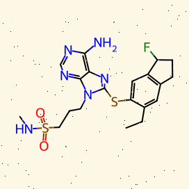 CCc1cc2c(cc1Sc1nc3c(N)ncnc3n1CCCS(=O)(=O)NC)C(F)CC2